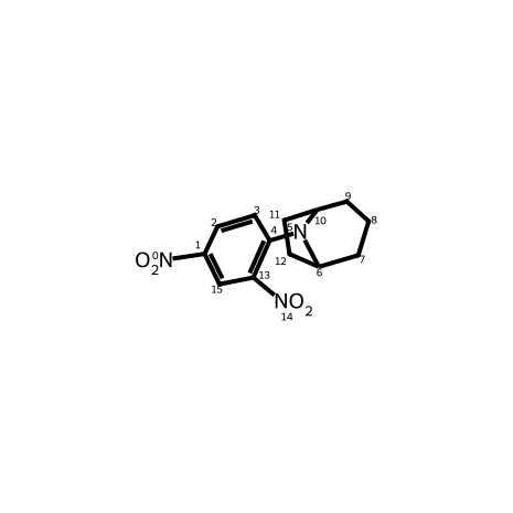 O=[N+]([O-])c1ccc(N2C3CCCC2CC3)c([N+](=O)[O-])c1